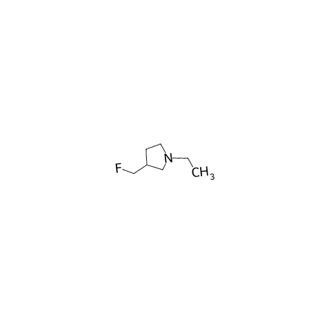 CCN1CCC(CF)C1